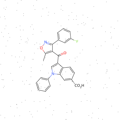 Cc1onc(-c2cccc(F)c2)c1C(=O)c1cn(-c2ccccc2)c2cc(C(=O)O)ccc12